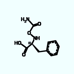 NC(=O)ON[C@@H](Cc1ccccc1)C(=O)O